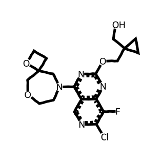 OCC1(COc2nc(N3CCOCC4(CCO4)C3)c3cnc(Cl)c(F)c3n2)CC1